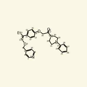 CC/C(=N/OCc1ccncc1)c1ccc(OCC(=O)N2CCN(c3ccccc3)CC2)cc1